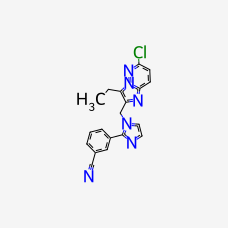 CCc1c(Cn2ccnc2-c2cccc(C#N)c2)nc2ccc(Cl)nn12